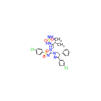 CC(C)C(CN/C(=N\S(=O)(=O)c1ccc(Cl)cc1)N1C[C@H](c2ccccc2)C(c2ccc(Cl)cc2)=N1)NS(N)(=O)=O